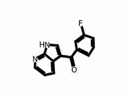 O=C(c1cccc(F)c1)c1c[nH]c2ncccc12